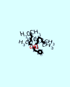 CC(C)=CCCC(C)=CCOC(Cc1ccccc1)OCC=C(C)CCC=C(C)C